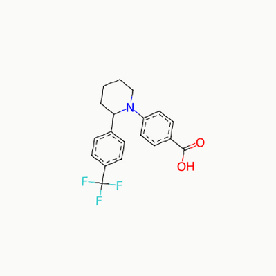 O=C(O)c1ccc(N2CCCCC2c2ccc(C(F)(F)F)cc2)cc1